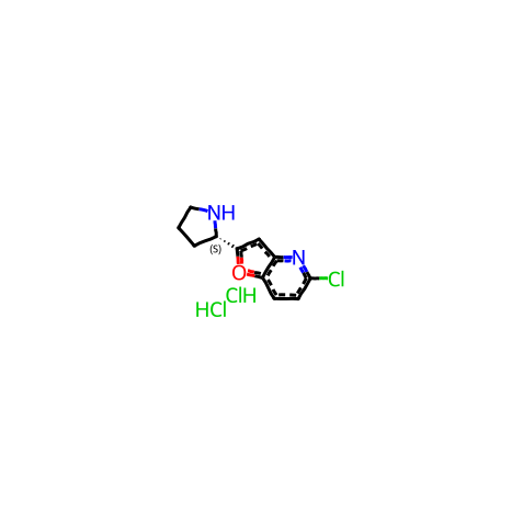 Cl.Cl.Clc1ccc2oc([C@@H]3CCCN3)cc2n1